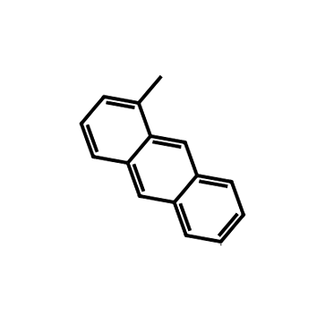 Cc1cccc2cc3c[c]ccc3cc12